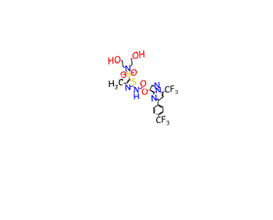 Cc1nc(NC(=O)Oc2cnn3c(C(F)(F)F)cc(-c4ccc(C(F)(F)F)cc4)nc23)sc1S(=O)(=O)N(CCO)CCO